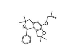 C=C(C)COc1cc2c(c3c1OC(C)(C)C3)C(c1ccccc1)=NC(C)(C)C2